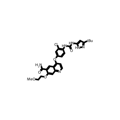 COCCOc1cc2nccc(Oc3ccc(NC(=O)Nc4cc(C(C)(C)C)n[nH]4)c(Cl)c3)c2cc1C(N)=O